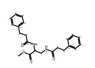 COC(=O)C(CNC(=O)CCc1ccccc1)NC(=O)CCc1ccccc1